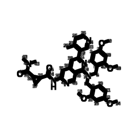 COc1ccc(CN(Cc2ccc(OC)cc2OC)c2nc(-c3cnccc3C)cc3cc(NC(=O)C4CC4C(=O)N(C)C)ncc23)c(OC)c1